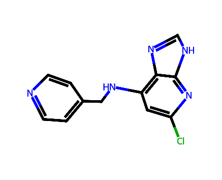 Clc1cc(NCc2ccncc2)c2nc[nH]c2n1